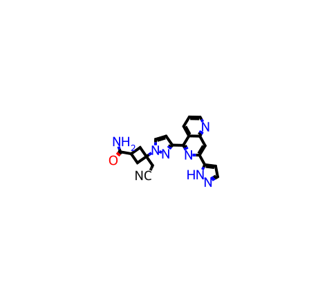 N#CCC1(n2ccc(-c3nc(-c4ccn[nH]4)cc4ncccc34)n2)CC(C(N)=O)C1